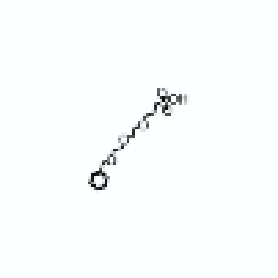 O=S(=O)(O)CCCOCCOCCOCc1ccccc1